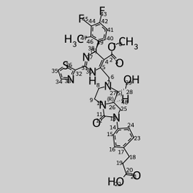 COC(=O)C1=C(CN2CCN3C(=O)N(c4ccc(CCC(=O)O)cc4)C[C@@H]3[C@H]2CO)NC(c2nccs2)=N[C@H]1c1ccc(F)c(F)c1C